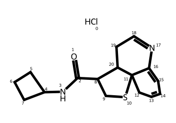 Cl.O=C(NC1CCC1)C1CSC23CC=CC=C2N=CCC13